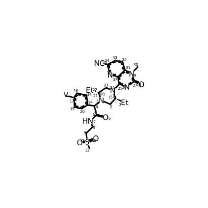 CC[C@H]1CN(C(C(=O)NCCS(C)(=O)=O)c2ccc(C)cc2)[C@H](CC)CN1c1nc(=O)n(C)c2ccc(C#N)nc12